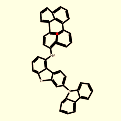 c1ccc(-c2cccc3cccc(-c4ccc(Nc5cccc6oc7cc(-n8c9ccccc9c9ccccc98)ccc7c56)cc4)c23)cc1